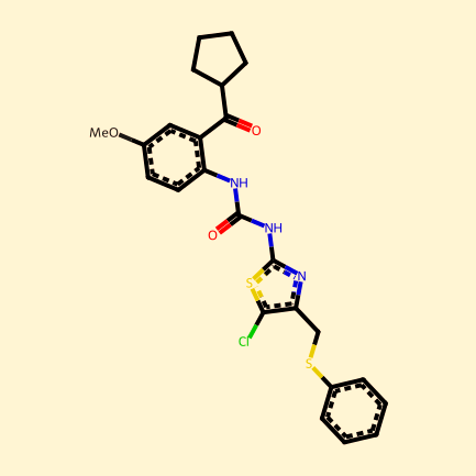 COc1ccc(NC(=O)Nc2nc(CSc3ccccc3)c(Cl)s2)c(C(=O)C2CCCC2)c1